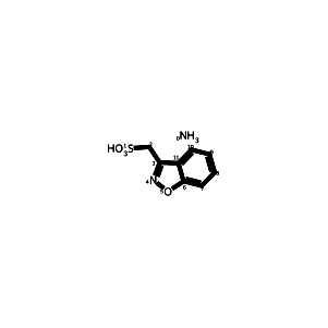 N.O=S(=O)(O)Cc1noc2ccccc12